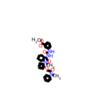 COC(=O)c1cccc(NC(=O)NCC(=O)[N+](C)(c2ccccc2OCC(=O)N(C)c2ccccc2)C2CCCCC2)c1